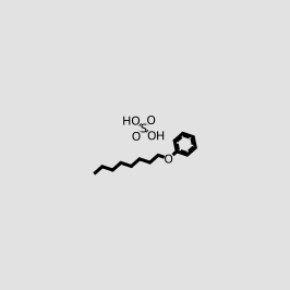 CCCCCCCCOc1ccccc1.O=S(=O)(O)O